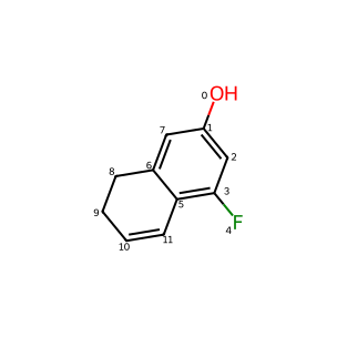 Oc1cc(F)c2c(c1)CCC=C2